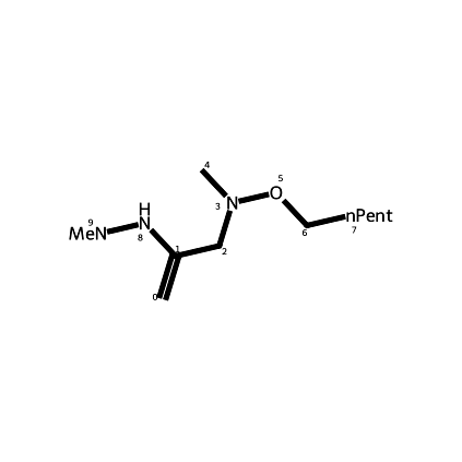 C=C(CN(C)OCCCCCC)NNC